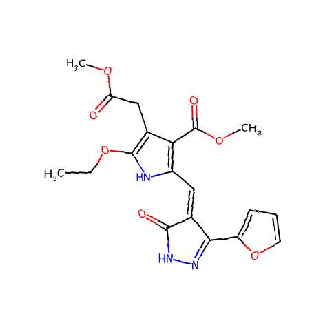 CCOc1[nH]c(C=C2C(=O)NN=C2c2ccco2)c(C(=O)OC)c1CC(=O)OC